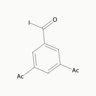 CC(=O)c1cc(C(C)=O)cc(C(=O)I)c1